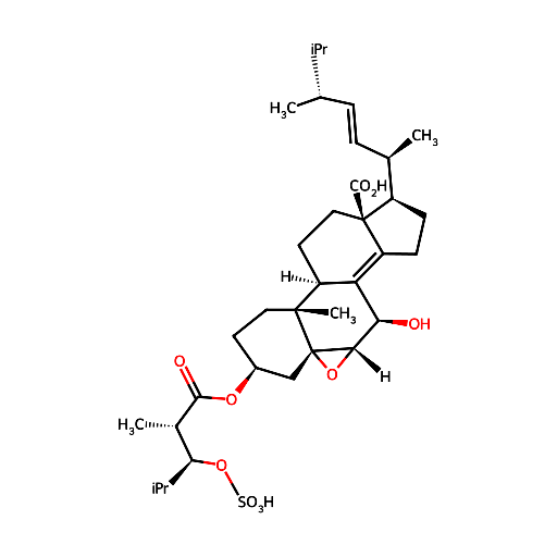 CC(C)[C@@H](C)/C=C/[C@@H](C)[C@H]1CCC2=C3[C@@H](O)[C@@H]4O[C@@]45C[C@@H](OC(=O)[C@@H](C)[C@@H](OS(=O)(=O)O)C(C)C)CC[C@]5(C)[C@H]3CC[C@@]21C(=O)O